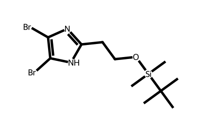 CC(C)(C)[Si](C)(C)OCCc1nc(Br)c(Br)[nH]1